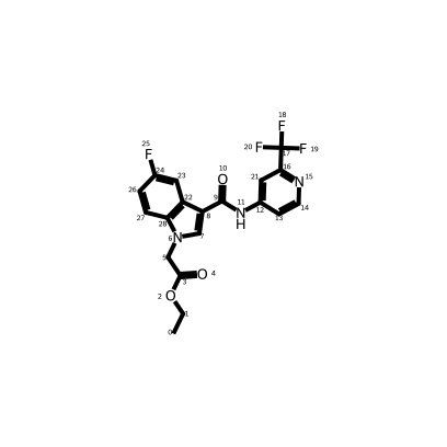 CCOC(=O)Cn1cc(C(=O)Nc2ccnc(C(F)(F)F)c2)c2cc(F)ccc21